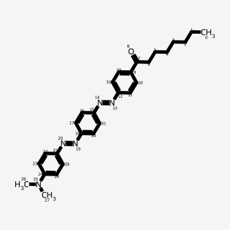 CCCCCCCC(=O)c1ccc(N=Nc2ccc(N=Nc3ccc(N(C)C)cc3)cc2)cc1